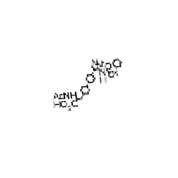 CC(=O)NC(Cc1ccc(-c2ccc(-c3cnn(C)c3NC(=O)O[C@H](C)c3ccccc3)cc2)cc1)C(=O)O